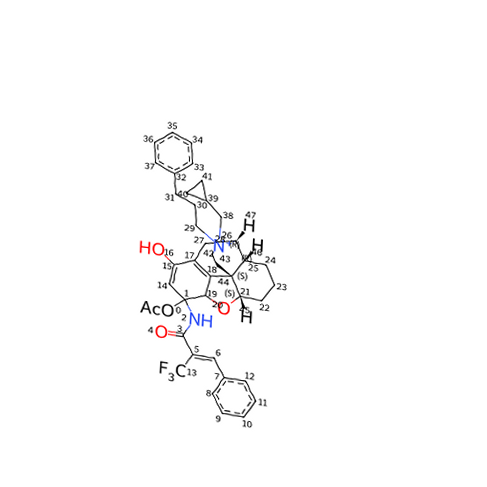 CC(=O)OC1(NC(=O)C(=Cc2ccccc2)C(F)(F)F)C=C(O)C2=C3C1O[C@H]1CCC[C@H]4[C@@H](C2)[N+](CCCc2ccccc2)(CC2CC2)CC[C@]314